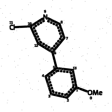 COc1cccc(-c2ccnc(Cl)c2)c1